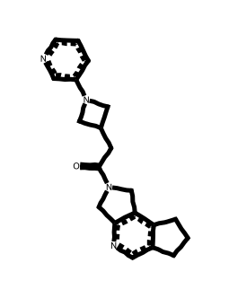 O=C(CC1CN(c2cccnc2)C1)N1Cc2ncc3c(c2C1)CCC3